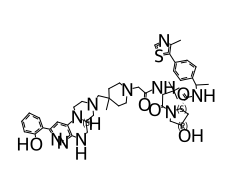 Cc1ncsc1-c1ccc(C(C)NC(=O)[C@@H]2C[C@@H](O)CN2C(=O)C(NC(=O)CN2CCC(C)(CN3CCN4c5cc(-c6ccccc6O)nnc5NC[C@H]4C3)CC2)C(C)(C)C)cc1